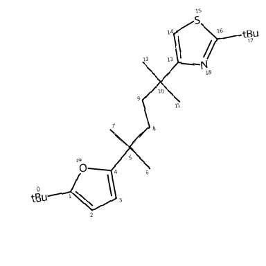 CC(C)(C)c1ccc(C(C)(C)CCC(C)(C)c2csc(C(C)(C)C)n2)o1